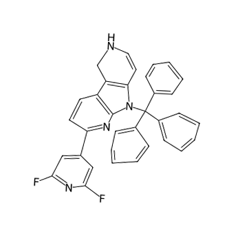 Fc1cc(-c2ccc3c4c(n(C(c5ccccc5)(c5ccccc5)c5ccccc5)c3n2)C=CNC4)cc(F)n1